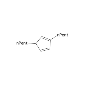 CCCCCC1=CC(CCCCC)C=C1